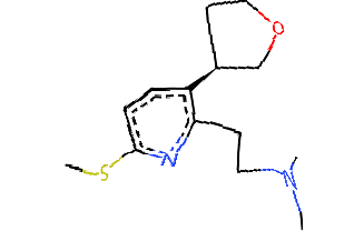 CSc1ccc([C@H]2CCOC2)c(CCN(C)C)n1